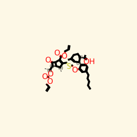 C=CCOC(=O)O[C@H](C)[C@H]1C(=O)C2C(C(=O)OCC=C)=C(CSCOc3cc(CCCCC)cc(O)c3[C@@H]3C=C(C)CC[C@H]3C(=C)C)[C@H](C)C21